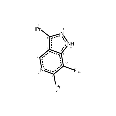 CC(C)c1ncc2c(C(C)C)n[nH]c2c1F